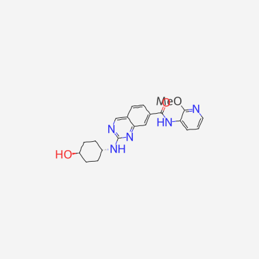 COc1ncccc1NC(=O)c1ccc2cnc(N[C@H]3CC[C@H](O)CC3)nc2c1